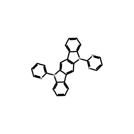 c1ccc(-n2c3ccccc3c3cc4c(cc32)c2ccccc2n4-c2ncccn2)nc1